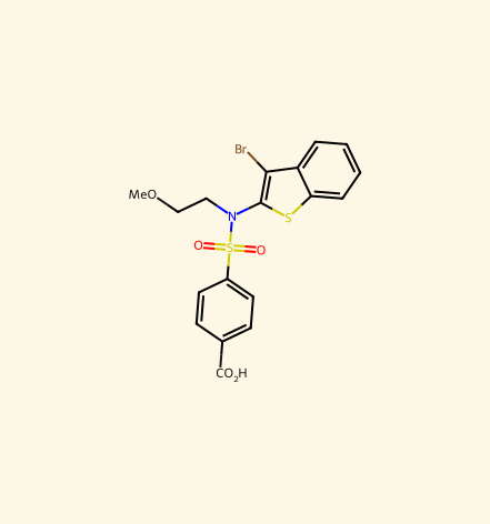 COCCN(c1sc2ccccc2c1Br)S(=O)(=O)c1ccc(C(=O)O)cc1